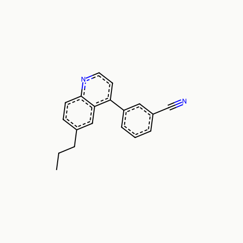 CCCc1ccc2nccc(-c3cccc(C#N)c3)c2c1